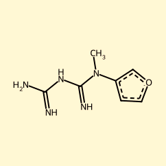 CN(C(=N)NC(=N)N)c1ccoc1